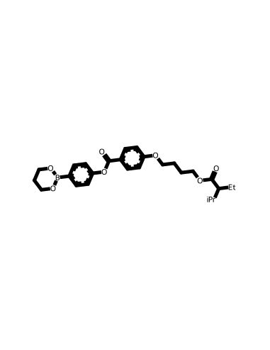 CCC(C(=O)OCCCCOc1ccc(C(=O)Oc2ccc(B3OCCCO3)cc2)cc1)C(C)C